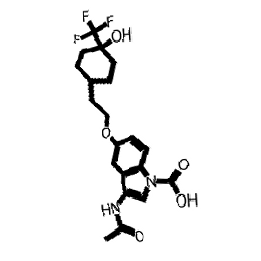 CC(=O)Nc1cn(C(=O)O)c2ccc(OCCC3CCC(O)(C(F)(F)F)CC3)cc12